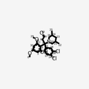 COc1cc(O)c(C(CC=O)(c2ccc(Cl)c(Cl)c2)N2CC(C)CC(C)C2)c(OC)c1